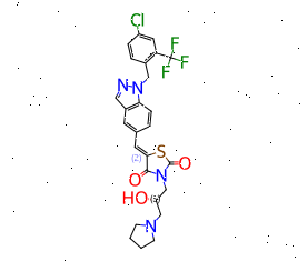 O=C1S/C(=C\c2ccc3c(cnn3Cc3ccc(Cl)cc3C(F)(F)F)c2)C(=O)N1C[C@@H](O)CN1CCCC1